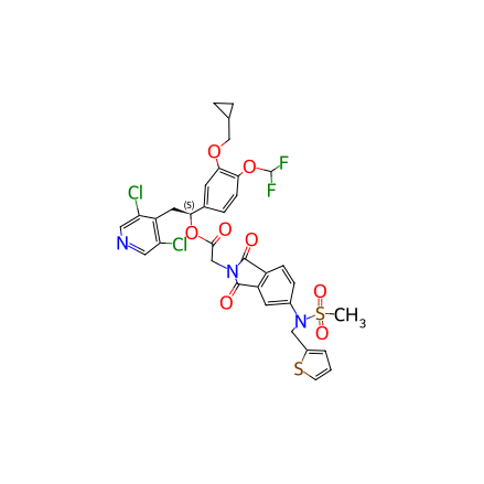 CS(=O)(=O)N(Cc1cccs1)c1ccc2c(c1)C(=O)N(CC(=O)O[C@@H](Cc1c(Cl)cncc1Cl)c1ccc(OC(F)F)c(OCC3CC3)c1)C2=O